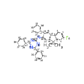 CC1(C)c2cc(F)ccc2-c2cc3c4ccccc4n(-c4nc(-c5ccccc5)nc(-c5ccccc5)n4)c3cc21